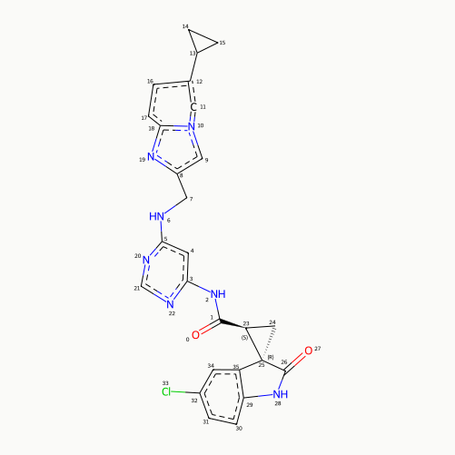 O=C(Nc1cc(NCc2cn3cc(C4CC4)ccc3n2)ncn1)[C@H]1C[C@@]12C(=O)Nc1ccc(Cl)cc12